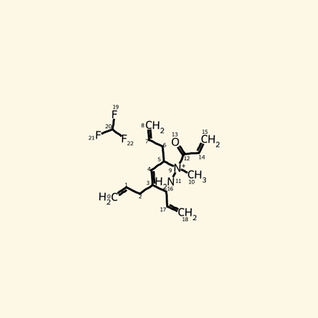 C=CCC(=CC(CC=C)[N+](C)(N)C(=O)C=C)CC=C.FC(F)F